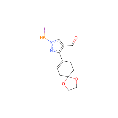 O=Cc1cn(PI)nc1C1=CCC2(CC1)OCCO2